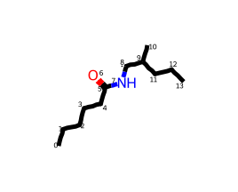 CCCCCC(=O)N[CH]C(C)CCC